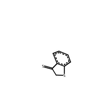 S=C1CSc2ccccc21